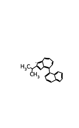 CC(C)c1[c]c2ccccc(-c3cccc4ccccc34)c-2c1